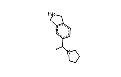 CC(c1ccc2c(c1)CNC2)N1CCCC1